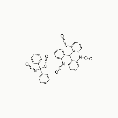 O=C=NC(N=C=O)(c1ccccc1)c1ccccc1.O=C=Nc1ccccc1C(c1ccccc1N=C=O)c1ccccc1N=C=O